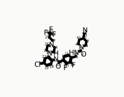 N#CC1CCN(C(=O)NCc2ccc(C(=O)Nc3ccc(Cl)cc3N3CCN(CCC(F)(F)F)CC3)c(F)c2F)CC1